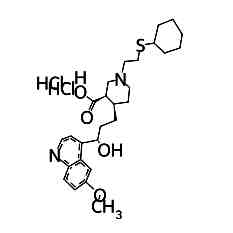 COc1ccc2nccc([C@@H](O)CC[C@@H]3CCN(CCSC4CCCCC4)C[C@@H]3C(=O)O)c2c1.Cl.Cl